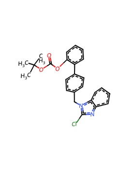 CC(C)(C)OC(=O)Oc1ccccc1-c1ccc(Cn2c(Cl)nc3ccccc32)cc1